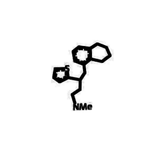 CNCCC(Cc1cccc2c1CCCC2)c1cccs1